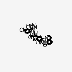 Cn1c(C(=O)Nc2ccc(Cl)cc2-c2nnn[nH]2)cc2ccc(NS(=O)(=O)c3cccc4cccnc34)cc21